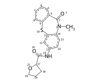 CN1C(=O)c2ccccc2Sc2cc(NC(=O)C3CCCO3)ccc21